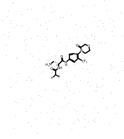 NC[C@@H](NC(=O)C(F)F)C(=O)Nc1ccc(N2CCOCC2=O)c(C(F)(F)F)c1